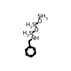 [SiH3]O[SiH2]O[SiH2]NCc1ccccc1